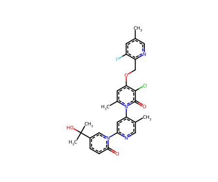 Cc1cnc(COc2cc(C)n(-c3cc(-n4cc(C(C)(C)O)ccc4=O)ncc3C)c(=O)c2Cl)c(F)c1